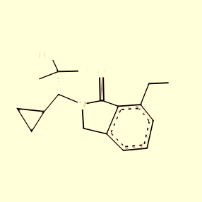 CC(C)(O)[C@@H](C1CC1)N1Cc2cccc(CO)c2C1=O